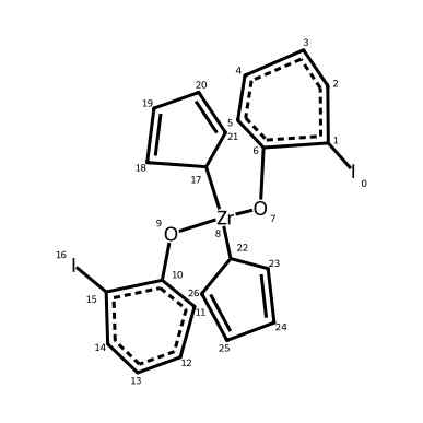 Ic1ccccc1[O][Zr]([O]c1ccccc1I)([CH]1C=CC=C1)[CH]1C=CC=C1